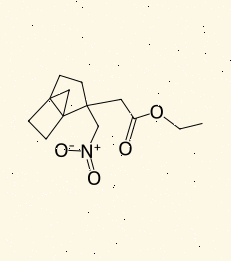 CCOC(=O)CC1(C[N+](=O)[O-])CCC23CCC12C3